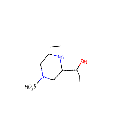 CC.CC(O)C1CN(S(=O)(=O)O)CCN1